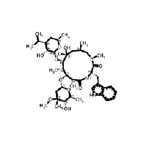 CO[C@]1(C)C[C@H](O[C@H]2[C@H](C)[C@@H](O[C@@H]3O[C@H](C)C[C@H](C(C)C)[C@H]3O)[C@](C)(O)C[C@@H](C)CN(C)C(=O)[C@H](Cc3c[nH]c4ccccc34)NC(=O)[C@@H]2C)O[C@@H](C)[C@@H]1O